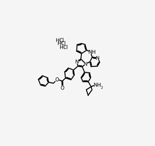 Cl.Cl.Cl.NC1(c2ccc(-c3c(-c4ccc(C(=O)OCc5ccccc5)cc4)nc4n3-c3cccnc3Nc3ccccc3-4)cc2)CCC1